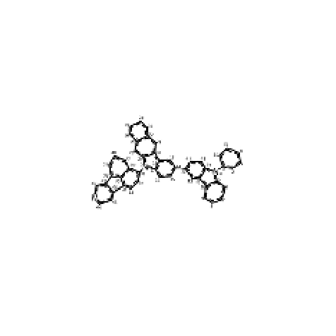 c1ccc(-n2c3ccccc3c3cc(-c4ccc5c(c4)c4cc6ccccc6cc4n5-c4ccc5c6c(cccc46)-c4cnccc4-5)ccc32)cc1